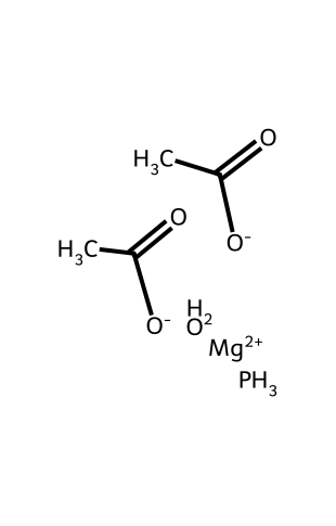 CC(=O)[O-].CC(=O)[O-].O.P.[Mg+2]